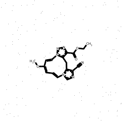 CCOC(=O)c1nnn2c1Cc1c(C#N)ncn1/C=C/C=C(OC)\C=C\2